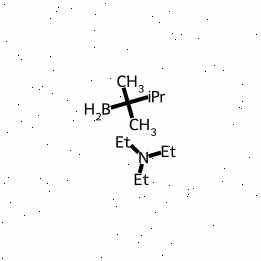 BC(C)(C)C(C)C.CCN(CC)CC